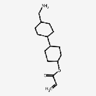 C=CC(=O)OC1CCC(C2CCC(CN)CC2)CC1